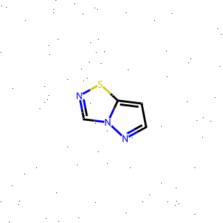 c1cc2sncn2n1